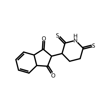 O=C1C2C=CC=CC2C(=O)C1C1CCC(=S)NC1=S